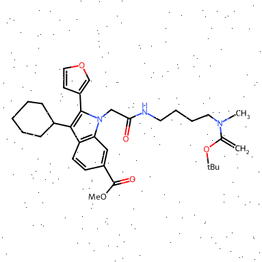 C=C(OC(C)(C)C)N(C)CCCCNC(=O)Cn1c(-c2ccoc2)c(C2CCCCC2)c2ccc(C(=O)OC)cc21